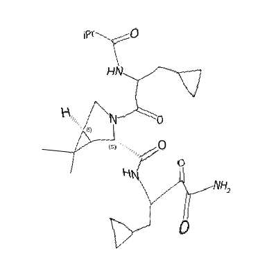 CC(C)C(=O)NC(CC1CC1)C(=O)N1C[C@H]2C([C@H]1C(=O)NC(CC1CC1)C(=O)C(N)=O)C2(C)C